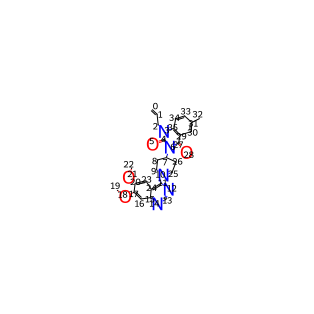 C=CCn1c(=O)n(C2CCN(c3ncnc4cc(OC)c(OC)cc34)CC2)c(=O)c2cc(C)ccc21